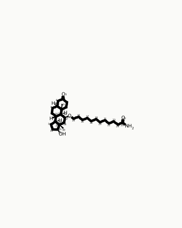 C[C@]12CCC(=O)C[C@@H]1CC[C@@H]1[C@@H]2[C@@H](OCCCCCCCCCCCC(N)=O)C[C@]2(C)[C@@H](O)CC[C@@H]12